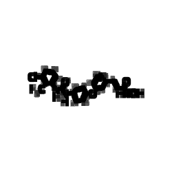 O=C(C=Cc1cc(Oc2ccc(NC(=O)Nc3cccc(Cl)c3C(F)(F)F)cc2)ccn1)NO